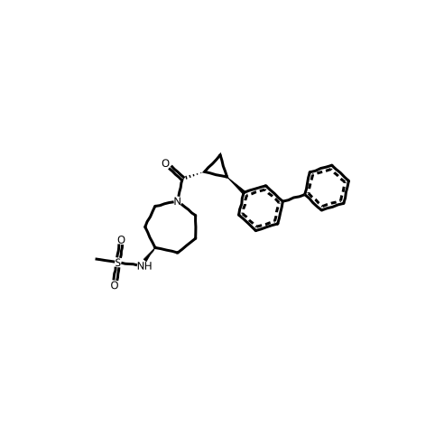 CS(=O)(=O)N[C@@H]1CCCN(C(=O)[C@@H]2C[C@H]2c2cccc(-c3ccccc3)c2)CC1